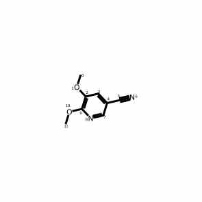 COc1cc(C#N)cnc1OC